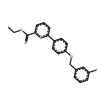 CCOC(=O)c1cccc(-c2ccc(OCc3cccc(F)c3)cc2)n1